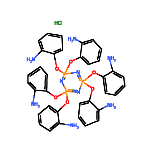 Cl.Nc1ccccc1OP1(Oc2ccccc2N)=NP(Oc2ccccc2N)(Oc2ccccc2N)=NP(Oc2ccccc2N)(Oc2ccccc2N)=N1